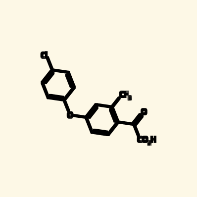 O=C(O)C(=O)c1ccc(Oc2ccc(Cl)cc2)cc1C(F)(F)F